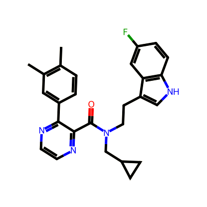 Cc1ccc(-c2nccnc2C(=O)N(CCc2c[nH]c3ccc(F)cc23)CC2CC2)cc1C